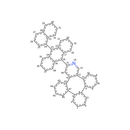 c1ccc2c(c1)-c1ccccc1-c1cnc(-c3c4ccccc4c(-c4cccc5ccccc45)c4ccccc34)cc1-c1ccccc1-2